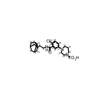 O=C(NCCC12CC3CC(CC(C3)C1)C2)c1cc(N2CCCN(C(=O)O)CC2)ccc1Cl